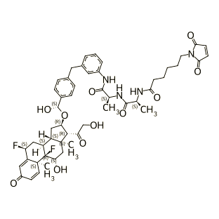 C[C@H](NC(=O)CCCCCN1C(=O)C=CC1=O)C(=O)N[C@@H](C)C(=O)Nc1cccc(Cc2ccc([C@@H](O)O[C@@H]3C[C@H]4[C@@H]5C[C@H](F)C6=CC(=O)C=C[C@]6(C)[C@@]5(F)[C@@H](O)C[C@]4(C)[C@H]3C(=O)CO)cc2)c1